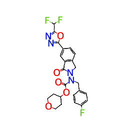 O=C(OC1CCOCC1)N(Cc1ccc(F)cc1)N1Cc2ccc(-c3nnc(C(F)F)o3)cc2C1=O